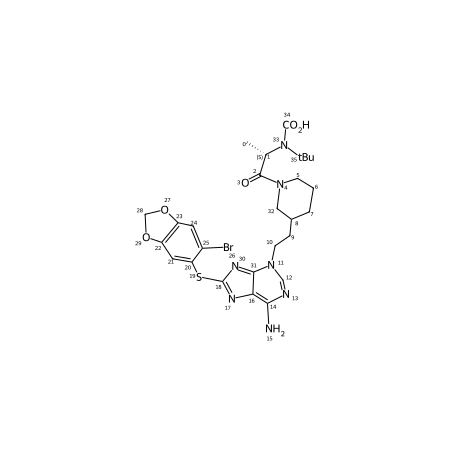 C[C@@H](C(=O)N1CCCC(CCn2cnc(N)c3nc(Sc4cc5c(cc4Br)OCO5)nc2-3)C1)N(C(=O)O)C(C)(C)C